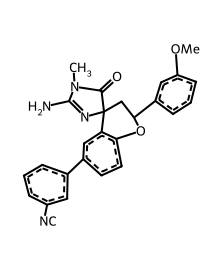 [C-]#[N+]c1cccc(-c2ccc3c(c2)C2(CC(c4cccc(OC)c4)O3)N=C(N)N(C)C2=O)c1